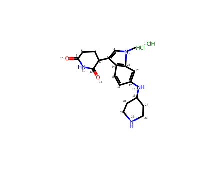 Cl.Cl.Cn1cc(C2CCC(=O)NC2=O)c2ccc(NC3CCNCC3)cc21